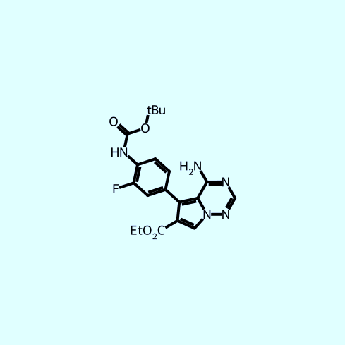 CCOC(=O)c1cn2ncnc(N)c2c1-c1ccc(NC(=O)OC(C)(C)C)c(F)c1